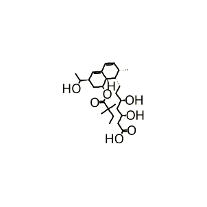 CCC(C)(C)C(=O)O[C@H]1C[C@@H](C(C)O)C=C2C=C[C@H](C)[C@H](CC[C@@H](O)C[C@@H](O)CC(=O)O)[C@H]21